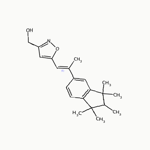 C/C(=C\c1cc(CO)no1)c1ccc2c(c1)C(C)(C)C(C)C2(C)C